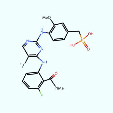 CNC(=O)c1c(F)cccc1Nc1nc(Nc2ccc(CP(=O)(O)O)cc2OC)ncc1C(F)(F)F